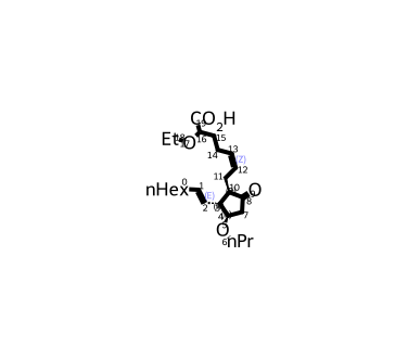 CCCCCC/C=C/[C@H]1[C@H](OCCC)CC(=O)[C@@H]1C/C=C\CCC(OCC)C(=O)O